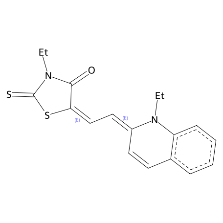 CCN1C(=O)/C(=C\C=C2/C=Cc3ccccc3N2CC)SC1=S